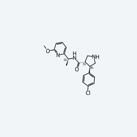 COc1cccc([C@H](C)NC(=O)[C@@H]2CNC[C@H]2c2ccc(Cl)cc2)n1